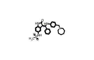 CS(=O)(=O)Nc1ccc2c(c1)/C(=C(/Nc1ccc(CN3CCCCCC3)cc1)c1ccccc1)C(=O)N2